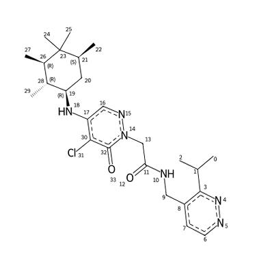 CC(C)c1nnccc1CNC(=O)Cn1ncc(N[C@@H]2C[C@H](C)C(C)(C)[C@H](C)[C@H]2C)c(Cl)c1=O